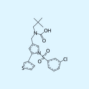 CC(C)(C)CN(Cc1cc(-c2ccsc2)n(S(=O)(=O)c2cccc(Cl)c2)c1)C(=O)O